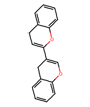 [C]1C=C(C2=COc3ccccc3C2)Oc2ccccc21